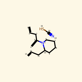 C=CCC(=C)N1CCCCC1CC=C.N#CS